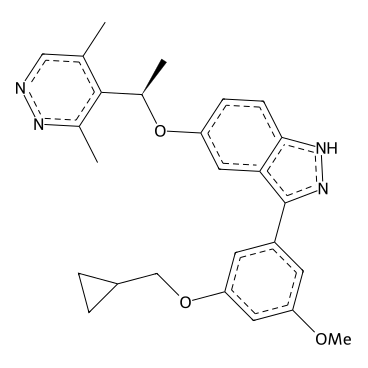 COc1cc(OCC2CC2)cc(-c2n[nH]c3ccc(O[C@H](C)c4c(C)cnnc4C)cc23)c1